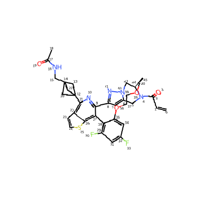 C=CC(=O)N1Cc2cc(-c3nc(C45CC(CNC(C)=O)(C4)C5)c4ccsc4c3-c3c(F)cc(F)cc3OCCOC)nn2C[C@H]1C